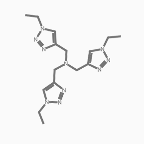 CCn1cc(CN(Cc2cn(CC)nn2)Cc2cn(CC)nn2)nn1